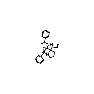 C=CC[C@@]1(C(=O)NC(C)c2ccccc2)CCCN1C(=O)c1ccccc1